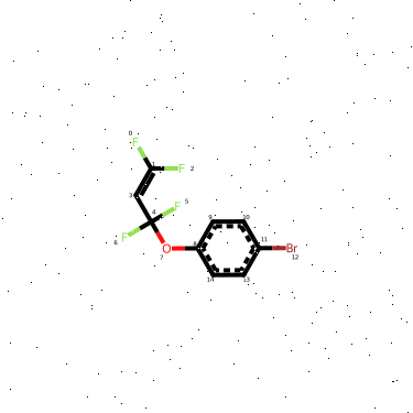 FC(F)=CC(F)(F)Oc1ccc(Br)cc1